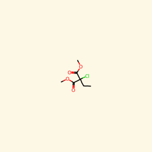 CCC(Cl)(C(=O)OC)C(=O)OC